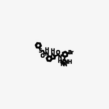 O=C(CSc1ccccc1)Nc1cccc2cc(C(=O)Nc3ccc(Br)cc3-c3nnn[nH]3)[nH]c12